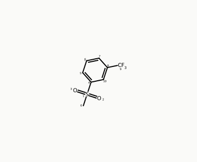 CS(=O)(=O)c1c[c]cc(C(F)(F)F)c1